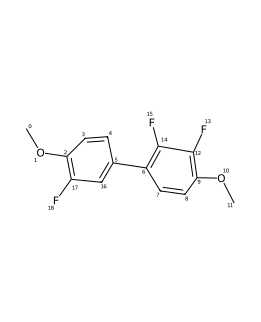 COc1ccc(-c2ccc(OC)c(F)c2F)cc1F